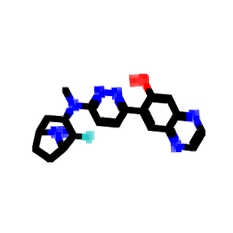 CN(c1ccc(-c2cc3nccnc3cc2O)nn1)[C@@H]1CC2CCC(N2)[C@@H]1F